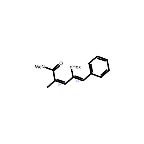 CCCCCCC(/C=C(/C)C(=O)NC)=C\c1ccccc1